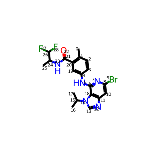 Cc1ccc(Nc2nc(Br)cc3ncn(C(C)C)c23)cc1C(=O)NC(C)C(F)F